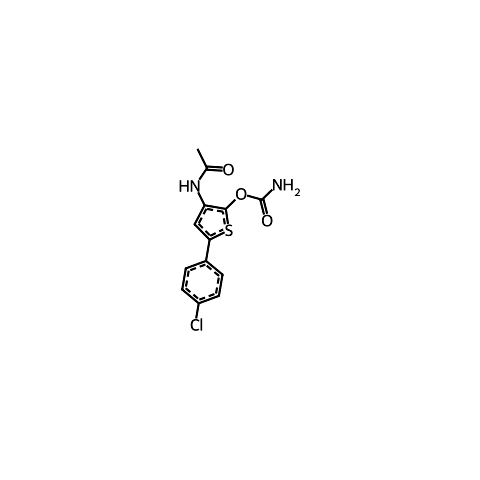 CC(=O)Nc1cc(-c2ccc(Cl)cc2)sc1OC(N)=O